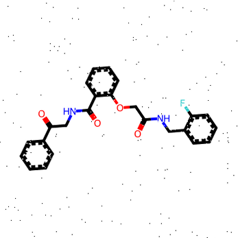 O=C(COc1ccccc1C(=O)NCC(=O)c1ccccc1)NCc1ccccc1F